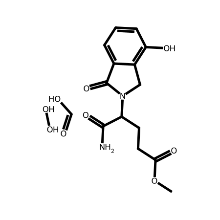 COC(=O)CCC(C(N)=O)N1Cc2c(O)cccc2C1=O.O=CO.OO